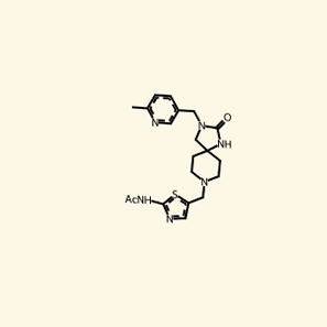 CC(=O)Nc1ncc(CN2CCC3(CC2)CN(Cc2ccc(C)nc2)C(=O)N3)s1